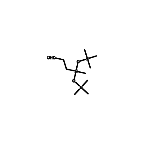 C[Si](C)(C)O[Si](C)(CCC=O)O[Si](C)(C)C